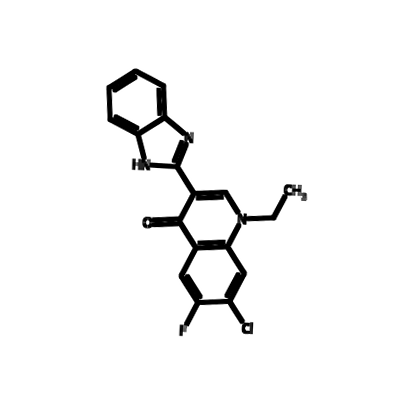 CCn1cc(-c2nc3ccccc3[nH]2)c(=O)c2cc(F)c(Cl)cc21